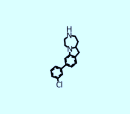 Clc1cccc(-c2ccc3c(c2)N2CCNCCC2C3)c1